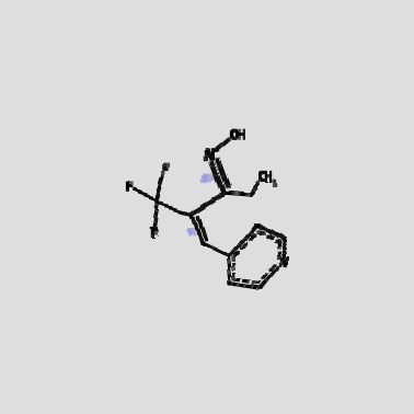 CCC(=N\O)/C(=C\c1ccncc1)C(F)(F)F